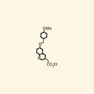 CCOC(=O)Cc1cnc2ccc(OCc3ccc(OC)cc3)cc2c1